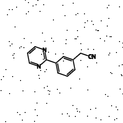 N#CCc1cccc(-c2ncccn2)c1